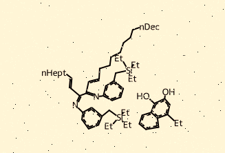 CCCCCCCC=CC(=Nc1cccc(C[Si](CC)(CC)CC)c1)C(C=CCCCCCCCCCCCCCCCCC)=Nc1cccc(C[Si](CC)(CC)CC)c1.CCc1cc(O)c(O)c2ccccc12